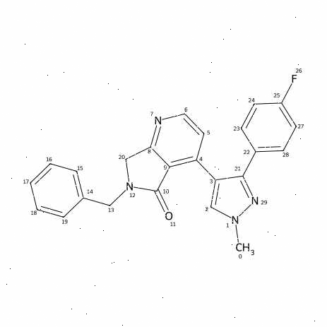 Cn1cc(-c2ccnc3c2C(=O)N(Cc2ccccc2)C3)c(-c2ccc(F)cc2)n1